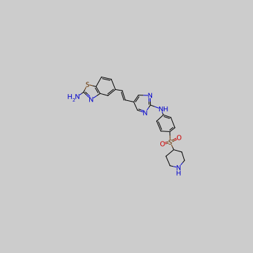 Nc1nc2cc(C=Cc3cnc(Nc4ccc(S(=O)(=O)C5CCNCC5)cc4)nc3)ccc2s1